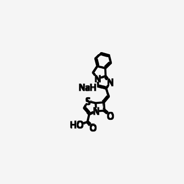 O=C(O)C1=CSC2/C(=C\c3cn4c(n3)-c3ccccc3C4)C(=O)N12.[NaH]